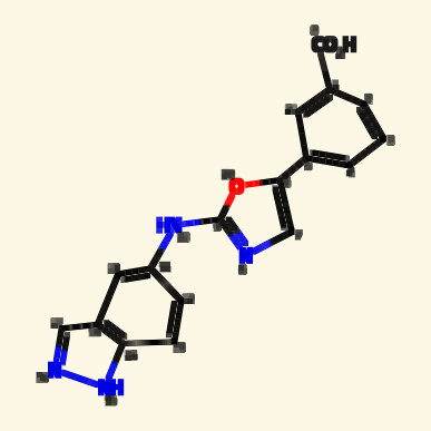 O=C(O)c1cccc(-c2cnc(Nc3ccc4[nH]ncc4c3)o2)c1